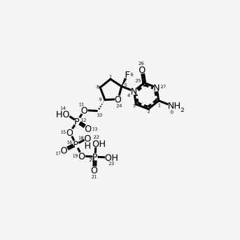 Nc1ccn([C@@]2(F)CC[C@@H](COP(=O)(O)OP(=O)(O)OP(=O)(O)O)O2)c(=O)n1